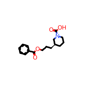 O=C(OCCC[C@@H]1CCCN(C(=O)O)C1)c1ccccc1